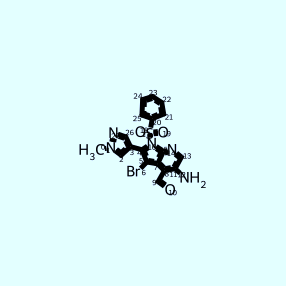 Cn1cc(-c2c(Br)c3c(C=O)c(N)cnc3n2S(=O)(=O)c2ccccc2)cn1